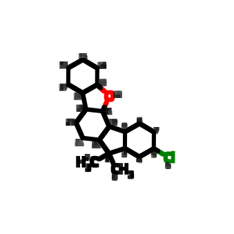 CC1(C)C2CC(Cl)CCC2C2C3OC4CCCCC4C3CCC21